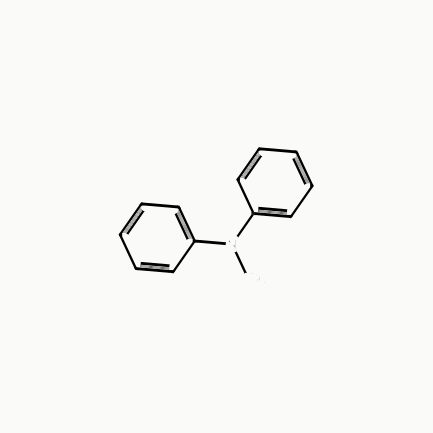 CC[C](C)N(c1ccccc1)c1ccccc1